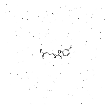 FC(F)=CCCSc1nc2ccc(F)cc2o1